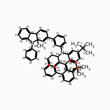 CC(C)(C)c1cc(N(c2cccc(C3=CC4(C)C(C=C3)c3ccccc3N4c3ccccc3)c2)C2CC=CC=C2c2cccc3cccc(-c4ccccc4)c23)cc(C(C)(C)C)c1